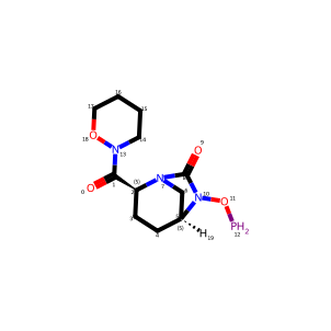 O=C([C@@H]1CC[C@H]2CN1C(=O)N2OP)N1CCCCO1